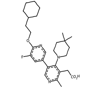 Cc1ncc(-c2cnc(OCCC3CCCCC3)c(F)c2)c(N2CCC(C)(C)CC2)c1CC(=O)O